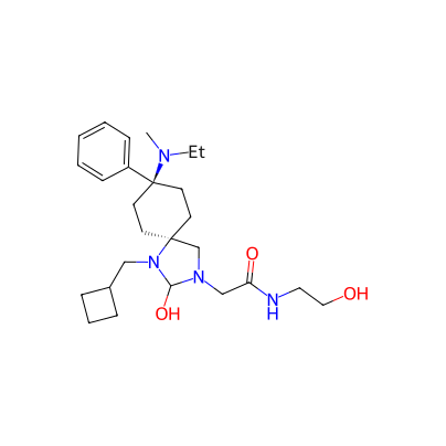 CCN(C)[C@]1(c2ccccc2)CC[C@]2(CC1)CN(CC(=O)NCCO)C(O)N2CC1CCC1